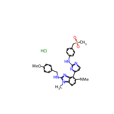 CNc1ccc2c(nc(NCc3ccc(OC)cc3)n2C)c1-c1ccnc(Nc2ccc(CS(C)(=O)=O)cc2)n1.Cl